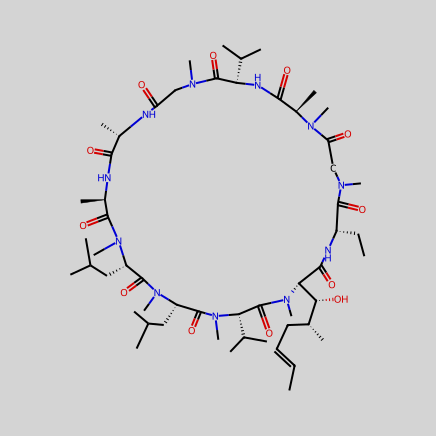 C/C=C/C[C@@H](C)[C@@H](O)[C@H]1C(=O)N[C@@H](CC)C(=O)N(C)CC(=O)N(C)[C@H](C)C(=O)N[C@@H](C(C)C)C(=O)N(C)CC(=O)N[C@@H](C)C(=O)N[C@H](C)C(=O)N(C)[C@@H](CC(C)C)C(=O)N(C)[C@@H](CC(C)C)C(=O)N(C)[C@@H](C(C)C)C(=O)N1C